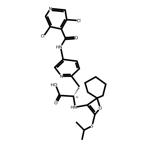 CC(C)SC1=C(N[C@@H](Cc2ccc(NC(=O)c3c(Cl)cncc3Cl)cn2)C(=O)O)C2(CCCCC2)O1